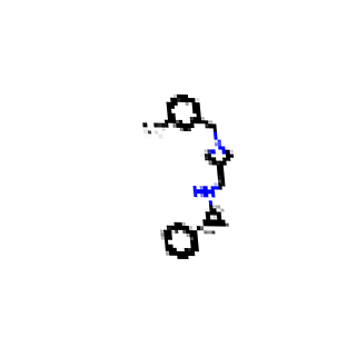 N#Cc1cccc(CN2CC(CN[C@@H]3C[C@H]3c3ccccc3)C2)c1